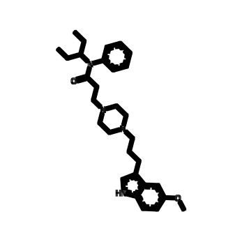 CCC(CC)N(C(=O)CCN1CCN(CCCc2c[nH]c3ccc(OC)cc23)CC1)c1ccccc1